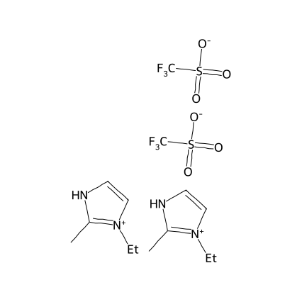 CC[n+]1cc[nH]c1C.CC[n+]1cc[nH]c1C.O=S(=O)([O-])C(F)(F)F.O=S(=O)([O-])C(F)(F)F